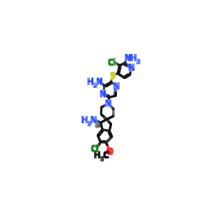 COc1cc2c(cc1Cl)[C@@H](N)C1(CCN(c3cnc(Sc4ccnc(N)c4Cl)c(N)n3)CC1)C2